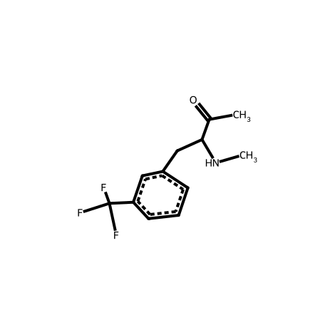 CNC(Cc1cccc(C(F)(F)F)c1)C(C)=O